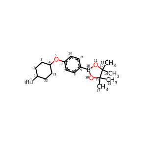 CCC(C)C1CCC(Oc2ccc(B3OC(C)(C)C(C)(C)O3)cc2)CC1